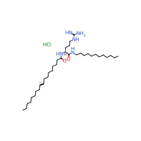 CCCCCCCC/C=C/CCCCCCCC(=O)N[C@@H](CCCNC(=N)N)C(=O)NCCCCCCCCCCCC.Cl